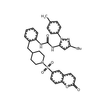 Cc1ccc(-n2nc(C(C)(C)C)cc2NC(=O)Nc2ccccc2CC2CCN(S(=O)(=O)c3ccc4oc(=O)ccc4c3)CC2)cc1